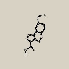 C=Nc1ccc2nnc3c(C(=O)NCC)snc3c2c1